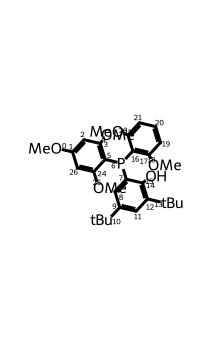 COc1cc(OC)c(P(c2cc(C(C)(C)C)cc(C(C)(C)C)c2O)c2c(OC)cccc2OC)c(OC)c1